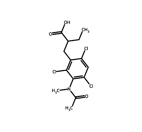 CCC(Cc1c(Cl)cc(Cl)c(N(C)C(C)=O)c1Cl)C(=O)O